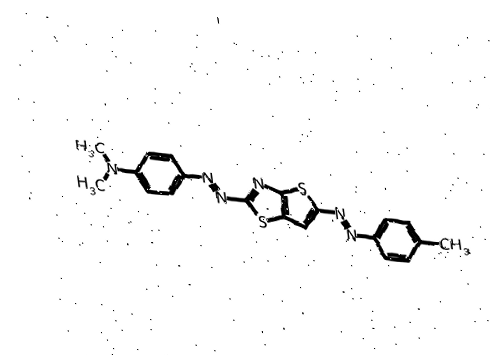 Cc1ccc(N=Nc2cc3sc(N=Nc4ccc(N(C)C)cc4)nc3s2)cc1